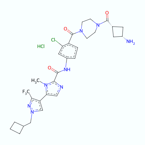 Cl.Cn1c(-c2cn(CC3CCC3)nc2C(F)(F)F)cnc1C(=O)Nc1ccc(C(=O)N2CCN(C(=O)[C@H]3C[C@@H](N)C3)CC2)c(Cl)c1